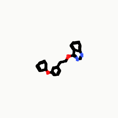 c1ccc(Oc2cccc(CCOc3ncnc4ccccc34)c2)cc1